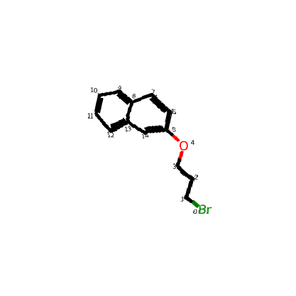 BrCCCOc1c[c]c2ccccc2c1